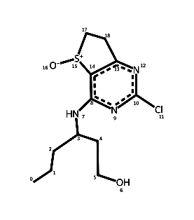 CCCC(CCO)Nc1nc(Cl)nc2c1[S+]([O-])CC2